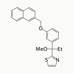 CCC(OC)(c1cccc(OCc2ccc3ccccc3c2)c1)c1nccs1